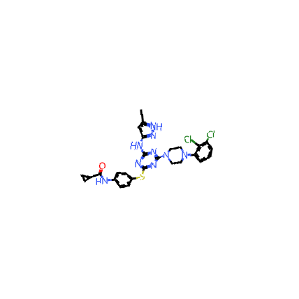 Cc1cc(Nc2nc(Sc3ccc(NC(=O)C4CC4)cc3)nc(N3CCN(c4cccc(Cl)c4Cl)CC3)n2)n[nH]1